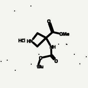 COC(=O)C1(NC(=O)OC(C)(C)C)CNC1.Cl